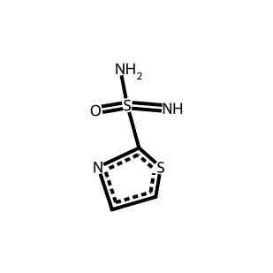 N=S(N)(=O)c1nccs1